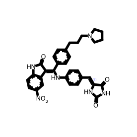 O=C1NC(=O)/C(=C/c2ccc(NC(=C3C(=O)Nc4ccc([N+](=O)[O-])cc43)c3ccc(CCCN4CCCC4)cc3)cc2)N1